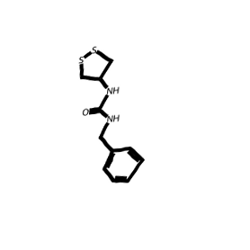 O=C(NCc1ccccc1)NC1CSSC1